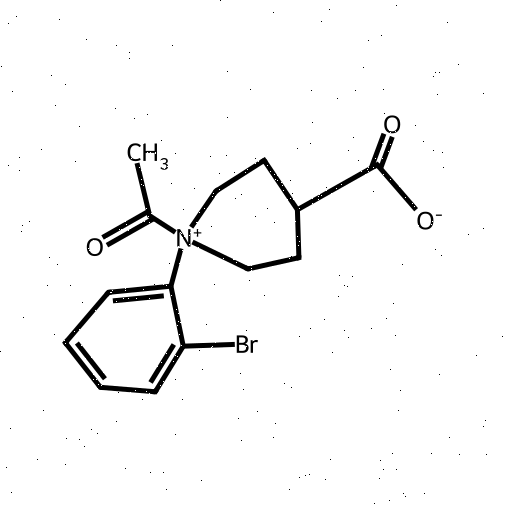 CC(=O)[N+]1(c2ccccc2Br)CCC(C(=O)[O-])CC1